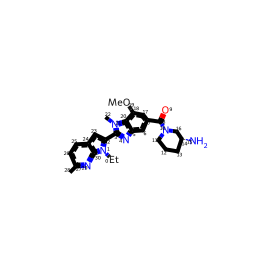 CCn1c(-c2nc3cc(C(=O)N4CCC[C@@H](N)C4)cc(OC)c3n2C)cc2ccc(C)nc21